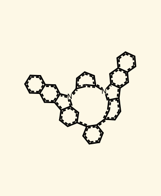 c1ccc2cc3c(cc2c1)c1ccc2cc1n3c1cccc(c1)n1c3cc4ccccc4cc3c3ccc(cc31)c1ccccc21